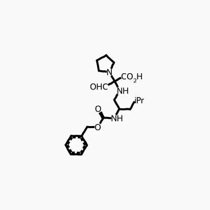 CC(C)CC(CNC(C=O)(C(=O)O)N1CCCC1)NC(=O)OCc1ccccc1